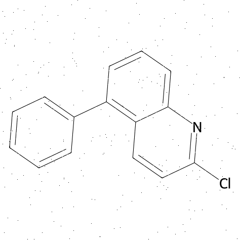 Clc1ccc2c(-c3ccccc3)cccc2n1